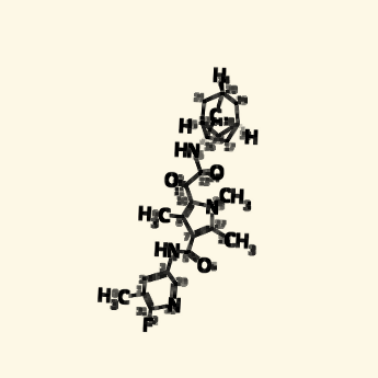 Cc1cc(NC(=O)c2c(C)c(C(=O)C(=O)N[C@]34C[C@@H]5C[C@@H](C[C@H]3C5)C4)n(C)c2C)cnc1F